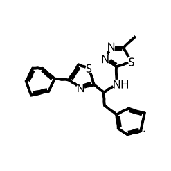 Cc1nnc(NC(Cc2cc[c]cc2)c2nc(-c3ccccc3)cs2)s1